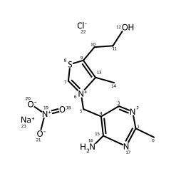 Cc1ncc(C[n+]2csc(CCO)c2C)c(N)n1.O=[N+]([O-])[O-].[Cl-].[Na+]